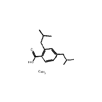 CC(C)Cc1ccc(C(=O)O)c(CC(C)C)c1.[CaH2]